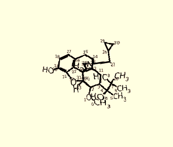 COC1C(C(C)(O)C(C)(C)C)CC2(C)C3Cc4ccc(O)c5c4C2(CCN3CC2CC2)[C@H]1O5